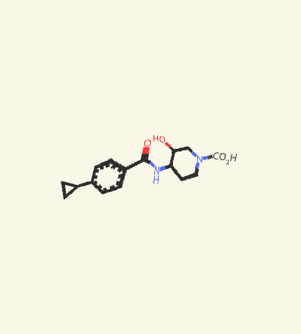 O=C(NC1CCN(C(=O)O)CC1O)c1ccc(C2CC2)cc1